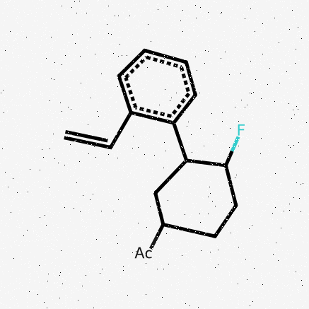 C=Cc1ccccc1C1CC(C(C)=O)CCC1F